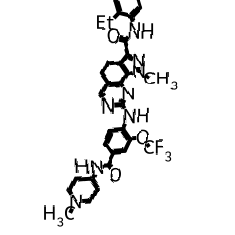 CCc1ccccc1NC(=O)c1nn(C)c2c1CCc1cnc(Nc3ccc(C(=O)NC4CCN(C)CC4)cc3OC(F)(F)F)nc1-2